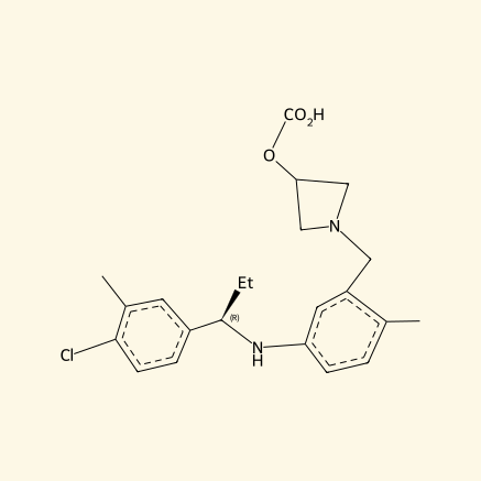 CC[C@@H](Nc1ccc(C)c(CN2CC(OC(=O)O)C2)c1)c1ccc(Cl)c(C)c1